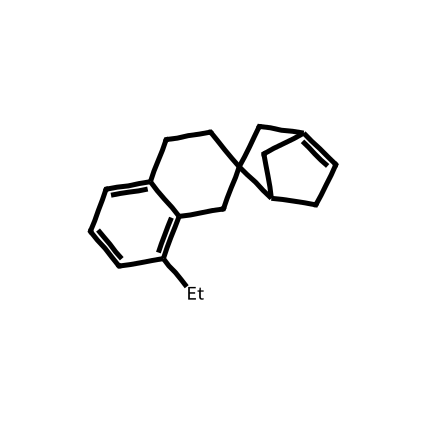 CCc1cccc2c1CC1(CC2)CC2=CCC1C2